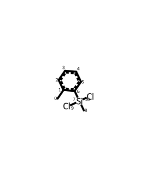 Cc1ccccc1[Si](C)(Cl)Cl